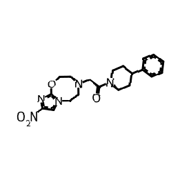 O=C(CN1CCOc2nc([N+](=O)[O-])cn2CC1)N1CCC(c2ccccc2)CC1